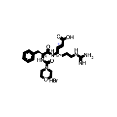 Br.N=C(N)NCCC[C@@H](/C=C/C(=O)O)NC(=O)[C@H](Cc1ccccc1)NC(=O)N1CCOCC1